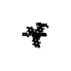 C[C@H]1CCN(C(=O)[C@H](CC2=CCCN(C(=N)N)C2)NS(=O)(=O)c2ccc3c(c2)CN(C)CC3)[C@@H](C(=O)O)C1.Cl.Cl